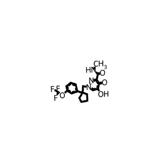 CNC(=O)c1nn(CC2(c3cccc(OC(F)(F)F)c3)CCCC2)cc(O)c1=O